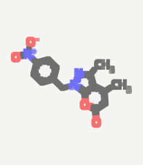 Cc1cc(=O)oc2c1c(C)nn2Cc1ccc([N+](=O)[O-])cc1